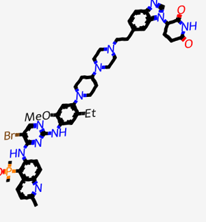 CCc1cc(Nc2ncc(Br)c(Nc3ccc4nc(C)ccc4c3P(C)(C)=O)n2)c(OC)cc1N1CCC(N2CCN(CCc3ccc4ncn(C5CCC(=O)NC5=O)c4c3)CC2)CC1